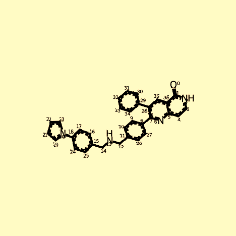 O=c1[nH]ccc2nc(-c3ccc(CNCc4ccc(-n5cccc5)cc4)cc3)c(-c3ccccc3)cc12